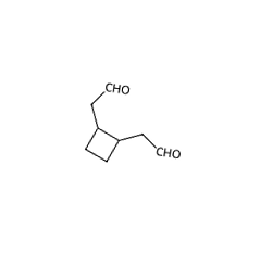 O=CCC1CCC1CC=O